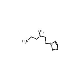 CN(CCN)CCn1cccc1